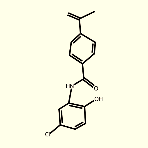 C=C(C)c1ccc(C(=O)Nc2cc(Cl)ccc2O)cc1